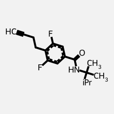 C#CCCc1c(F)cc(C(=O)NC(C)(C)C(C)C)cc1F